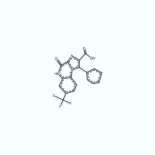 O=C(O)c1nc2c(=O)[nH]c3cc(C(F)(F)F)ccc3n2c1-c1ccccc1